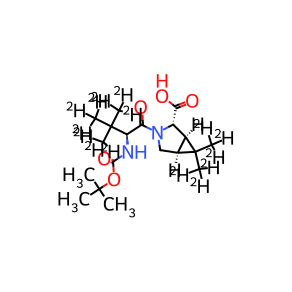 [2H]C([2H])([2H])C1(C([2H])([2H])[2H])[C@@H]2[C@@H](C(=O)O)N(C(=O)[C@@H](NC(=O)OC(C)(C)C)C(C([2H])([2H])[2H])(C([2H])([2H])[2H])C([2H])([2H])[2H])C[C@@H]21